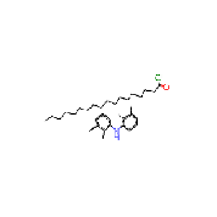 CCCCCCCCCCCCCCCCCC(=O)Cl.Cc1cccc(Nc2cccc(C)c2C)c1C